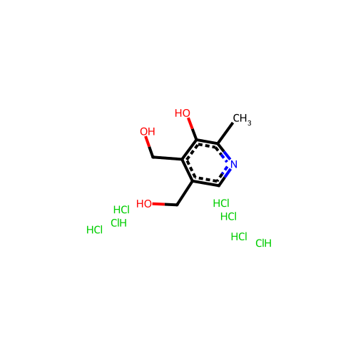 Cc1ncc(CO)c(CO)c1O.Cl.Cl.Cl.Cl.Cl.Cl.Cl